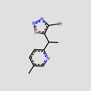 [CH2]C(c1ccc(C)cn1)c1snnc1C(C)C